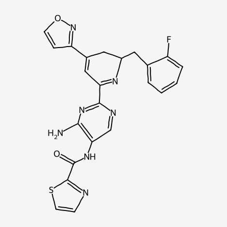 Nc1nc(C2=NC(Cc3ccccc3F)CC(c3ccon3)=C2)ncc1NC(=O)c1nccs1